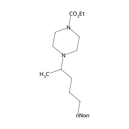 CCCCCCCCCCCCC(C)N1CCN(C(=O)OCC)CC1